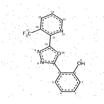 Oc1ccccc1-c1nnc(-c2ncccc2C(F)(F)F)o1